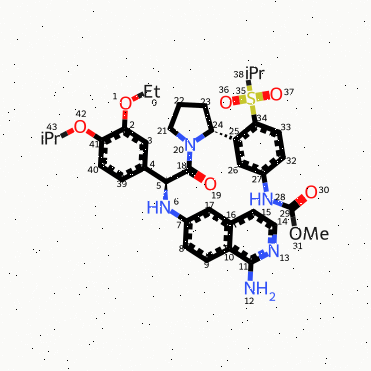 CCOc1cc([C@H](Nc2ccc3c(N)nccc3c2)C(=O)N2CCC[C@@H]2c2cc(NC(=O)OC)ccc2S(=O)(=O)C(C)C)ccc1OC(C)C